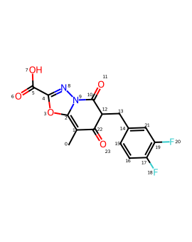 CC1=C2OC(C(=O)O)=NN2C(=O)C(Cc2ccc(F)c(F)c2)C1=O